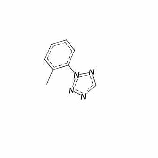 Cc1ccccc1-n1ncnn1